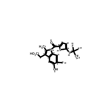 Cc1c(CC(=O)O)c2cc(O)c(F)cc2n1C(=O)c1ccc(SC(F)(F)C(F)(F)F)s1